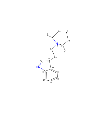 CC1CCCC(C)N1CCc1c[nH]c2ccccc12